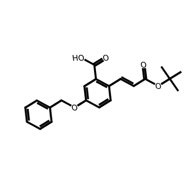 CC(C)(C)OC(=O)C=Cc1ccc(OCc2ccccc2)cc1C(=O)O